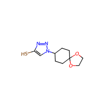 Sc1cn(C2CCC3(CC2)OCCO3)nn1